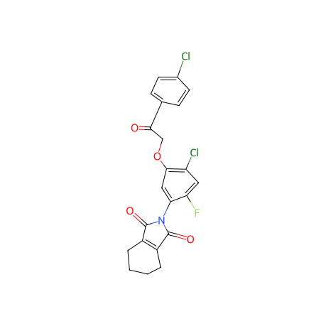 O=C(COc1cc(N2C(=O)C3=C(CCCC3)C2=O)c(F)cc1Cl)c1ccc(Cl)cc1